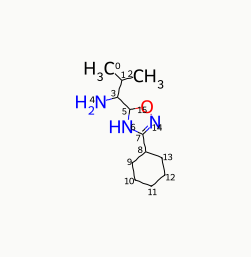 CC(C)C(N)C1NC(C2CCCCC2)=NO1